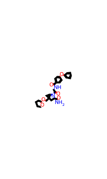 NC(=O)C1CC2(COC3CCCCO3)CC2N1C(=O)CNC(=O)c1ccc(Oc2ccccc2)cc1